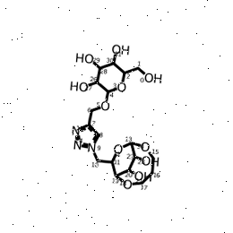 OCC1OC(OCc2cn(CC3OC4OCCCOC3C(O)C4O)nn2)C(O)C(O)C1O